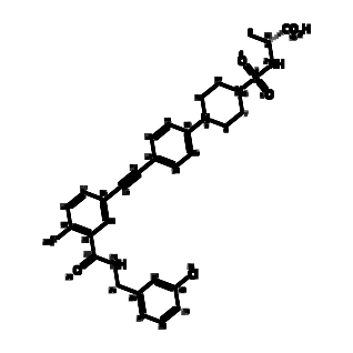 C[C@@H](NS(=O)(=O)N1CCN(c2ccc(C#Cc3ccc(F)c(C(=O)NCc4cccc(Cl)c4)c3)cc2)CC1)C(=O)O